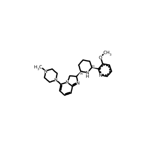 COc1cccnc1[C@@H]1CCC[C@H](C2CN3C(N4CCN(C)CC4)=CC=CC3=N2)N1